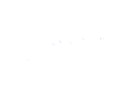 CC(C)C(N)C(=O)N1CCN(c2nnc(-c3ccc(Cl)cc3)c3ccccc23)C[C@@H]1C.Cl